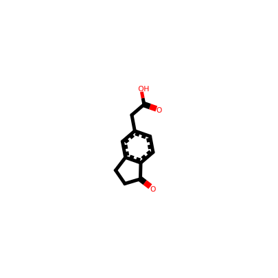 O=C(O)Cc1ccc2c(c1)CCC2=O